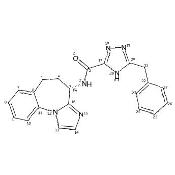 O=C(N[C@H]1CCc2ccccc2-n2ccnc21)c1nnc(Cc2ccccc2)[nH]1